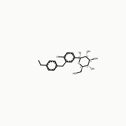 [2H][C@@]1(c2ccc(Cl)c(Cc3ccc(CC)cc3)c2)O[C@H](CO)[C@@H](O)[C@H](O)[C@H]1O